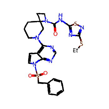 CCSc1nsc(NC(=O)N2CCC23CCCN(c2ncnc4c2ccn4S(=O)(=O)Cc2ccccc2)C3)n1